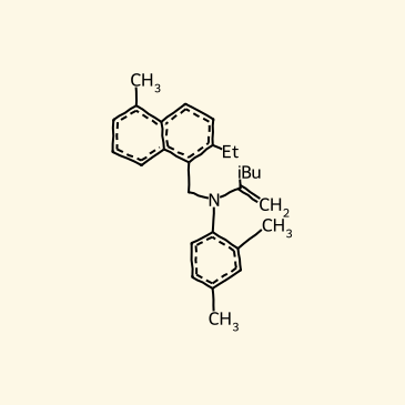 C=C(C(C)CC)N(Cc1c(CC)ccc2c(C)cccc12)c1ccc(C)cc1C